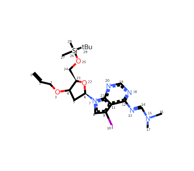 C=CCOC1C[C@H](n2cc(I)c3c(/N=C/N(C)C)ncnc32)O[C@@H]1CO[Si](C)(C)C(C)(C)C